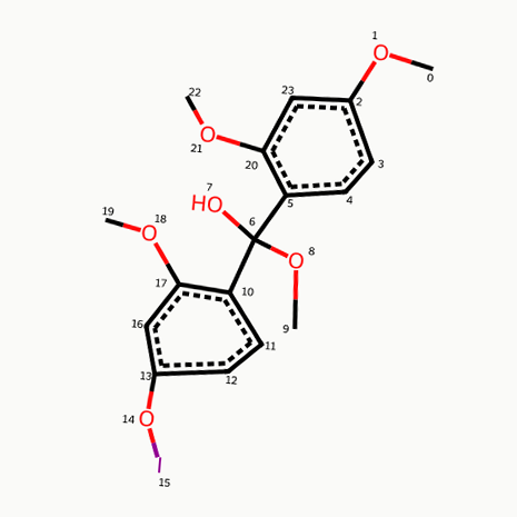 COc1ccc(C(O)(OC)c2ccc(OI)cc2OC)c(OC)c1